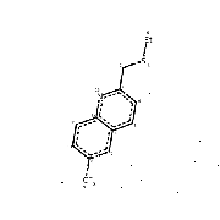 CCSCc1ccc2cc(C(F)(F)F)ccc2n1